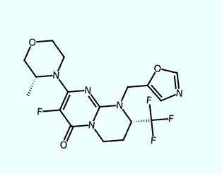 C[C@@H]1COCCN1c1nc2n(c(=O)c1F)CC[C@@H](C(F)(F)F)N2Cc1cnco1